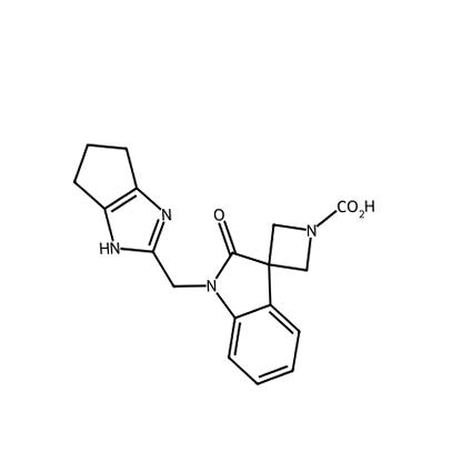 O=C(O)N1CC2(C1)C(=O)N(Cc1nc3c([nH]1)CCC3)c1ccccc12